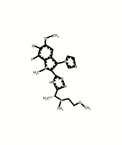 COCCN(C)[C@H](C)c1nnc(-c2c(-n3ccnc3)c3cc(OC)c(Cl)c(F)c3n2C)[nH]1